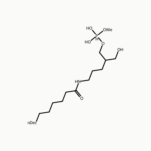 CCCCCCCCCCCCCCCC(=O)NCCCC(CO)CO[PH](O)(O)OC